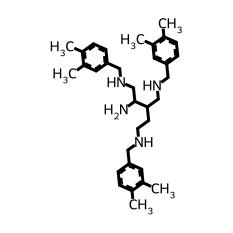 Cc1ccc(CNCCC(CNCc2ccc(C)c(C)c2)C(N)CNCc2ccc(C)c(C)c2)cc1C